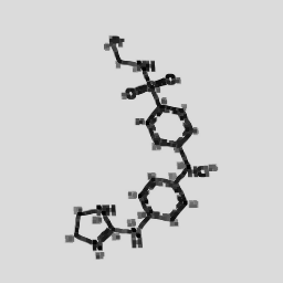 CC(C)CNS(=O)(=O)c1ccc(Cc2ccc(NC3=NCCN3)cc2)cc1.Cl